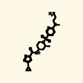 C[C@H]1C[C@@H](NC(=O)c2cc(C3CC3)on2)CCN1S(=O)(=O)c1ccc(N(C)CCN)nc1